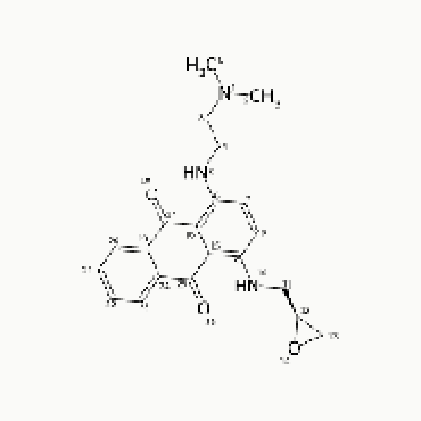 CN(C)CCNc1ccc(NC[C@H]2CO2)c2c1C(=O)c1ccccc1C2=O